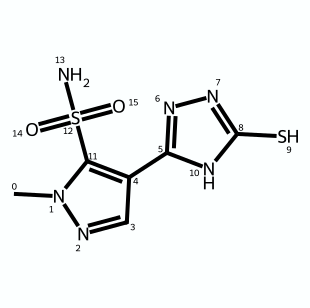 Cn1ncc(-c2nnc(S)[nH]2)c1S(N)(=O)=O